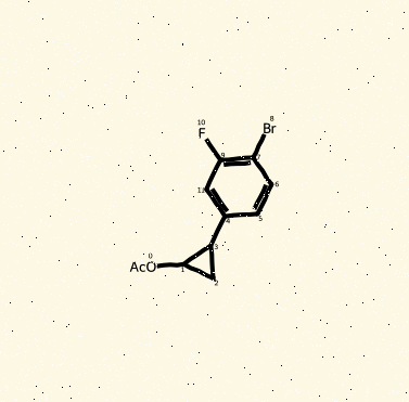 CC(=O)OC1CC1c1ccc(Br)c(F)c1